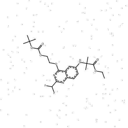 CCOC(=O)C(C)(C)Nc1ccc2nc(C(F)F)nc(OCCOC(=O)OC(C)(C)C)c2c1